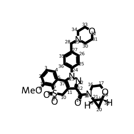 COc1cccc2c1S(=O)(=O)Cc1c(C(=O)N3CCO[C@@H]4C[C@@H]43)nn(-c3ccc(CN4CCOCC4)cc3)c1-2